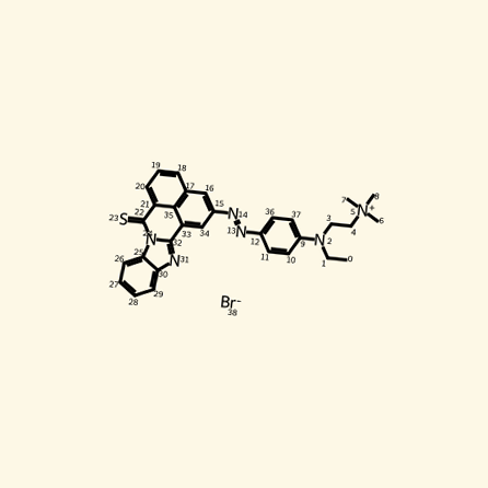 CCN(CC[N+](C)(C)C)c1ccc(N=Nc2cc3cccc4c(=S)n5c6ccccc6nc5c(c2)c34)cc1.[Br-]